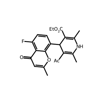 CCOC(=O)C1=C(C)NC(C)=C(C(C)=O)C1c1ccc(F)c2c(=O)cc(C)oc12